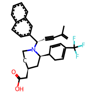 C=C(C)C#C[C@@H](c1ccc2ccccc2c1)N1CC[C@H](CC(=O)O)C[C@@H]1C1C=CC(C(F)(F)F)=CC1